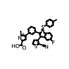 Cc1ccc(Sn2c(-c3cccc(-c4cc(C(=O)O)nn4C)c3)c(-c3ccsc3C#N)c3cc(F)ccc32)cc1